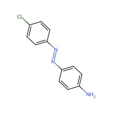 Nc1ccc(/N=N/c2ccc(Cl)cc2)cc1